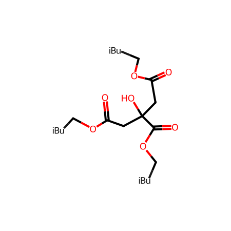 CCC(C)COC(=O)CC(O)(CC(=O)OCC(C)CC)C(=O)OCC(C)CC